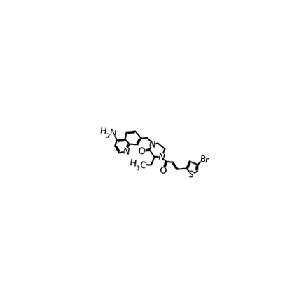 CCC1C(=O)N(Cc2ccc3c(N)ccnc3c2)CCN1C(=O)C=Cc1cc(Br)cs1